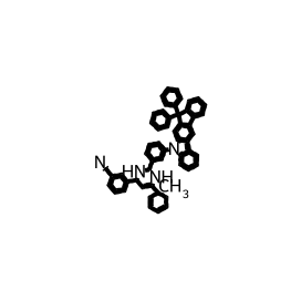 CC1(C2=CC(c3cccc(C#N)c3)NC(c3cccc(-n4c5ccccc5c5cc6c(cc54)C(c4ccccc4)(c4ccccc4)c4ccccc4-6)c3)N2)C=CC=CC1